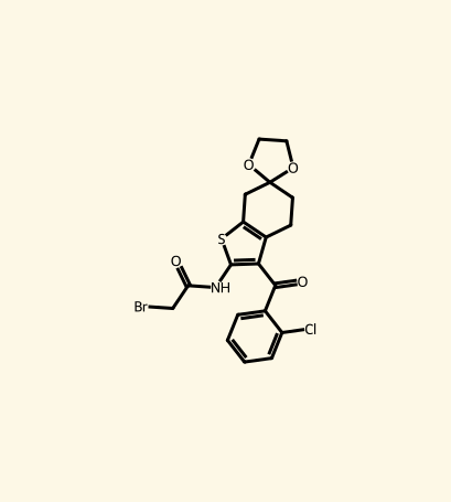 O=C(CBr)Nc1sc2c(c1C(=O)c1ccccc1Cl)CCC1(C2)OCCO1